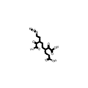 [N-]=[N+]=NCCC(CCC(CCC(=O)O)C(=O)C(=O)O)C(=O)C(=O)O